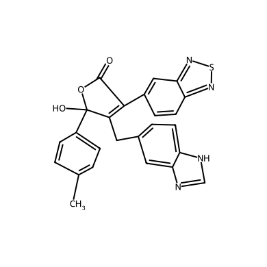 Cc1ccc(C2(O)OC(=O)C(c3ccc4nsnc4c3)=C2Cc2ccc3[nH]cnc3c2)cc1